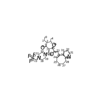 CCC(CC)C(=O)C1=C(N2CCN(CC(F)(F)F)CC2)O/C(=C\C2=C\CCCCc3ncccc32)C1=O